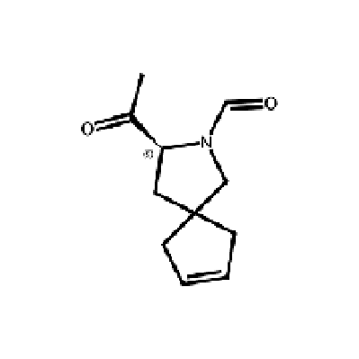 CC(=O)[C@@H]1CC2(CC=CC2)CN1C=O